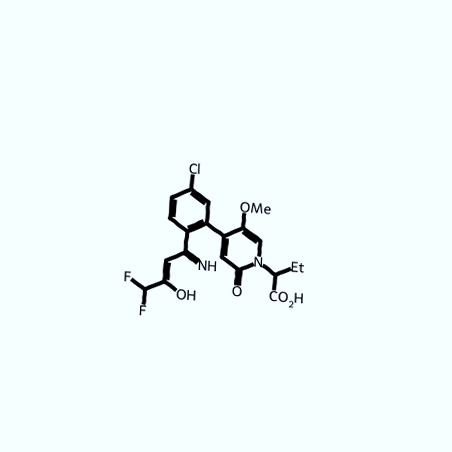 CCC(C(=O)O)n1cc(OC)c(-c2cc(Cl)ccc2C(=N)/C=C(\O)C(F)F)cc1=O